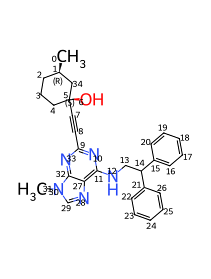 C[C@@H]1CCC[C@@](O)(C#Cc2nc(NCC(c3ccccc3)c3ccccc3)c3ncn(C)c3n2)C1